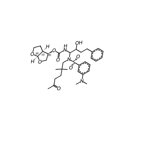 CC(=O)CCC(C)(C)CN(C(NC(=O)O[C@H]1CO[C@H]2OCC[C@H]21)C(O)CCc1ccccc1)S(=O)(=O)c1cccc(N(C)C)c1